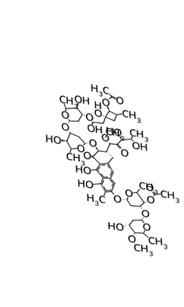 CO[C@H](C(=O)[C@@H](O)[C@@H](C)O)[C@@H]1Cc2cc3cc(O[C@H]4C[C@@H](O[C@H]5C[C@@H](O)[C@@H](OC)C(C)O5)[C@@H](OC(C)=O)C(C)O4)c(C)c(O)c3c(O)c2C(=O)[C@H]1O[C@H]1C[C@@H](O[C@H]2C[C@@H](O[C@H](O)C[C@]3(O)CC(C)[C@@H]3OC(C)=O)[C@H](O)C(C)O2)[C@H](O)C(C)O1